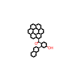 O=C(c1ccc(O)cc1-c1ccc2ccccc2c1)c1cc2ccc3ccc4ccc5ccc6ccc1c1c6c5c4c3c21